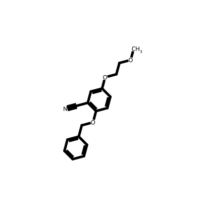 COCCOc1ccc(OCc2ccccc2)c(C#N)c1